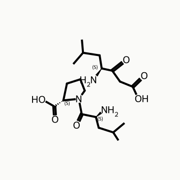 CC(C)C[C@H](N)C(=O)CC(=O)O.CC(C)C[C@H](N)C(=O)N1CCC[C@H]1C(=O)O